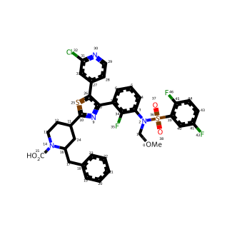 COCN(c1cccc(-c2nc(C3CCN(C(=O)O)C(Cc4ccccc4)C3)sc2-c2ccnc(Cl)c2)c1F)S(=O)(=O)c1cc(F)ccc1F